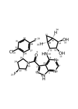 O=C(c1n[nH]c2ncnc(N[C@H]3[C@H](O)[C@H](O)[C@@H]4C[C@@H]43)c12)N1C[C@@H](F)C[C@@H]1c1cc(F)ccc1Cl